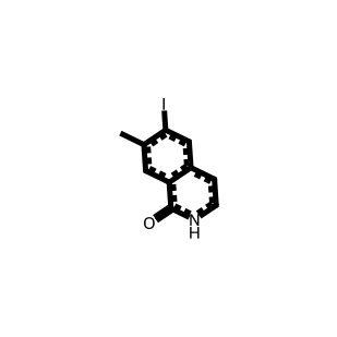 Cc1cc2c(=O)[nH]ccc2cc1I